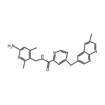 Cc1cnc2ccc(Cc3ccnc(C(=O)NCc4c(C)cc(N)nc4C)c3)cc2c1